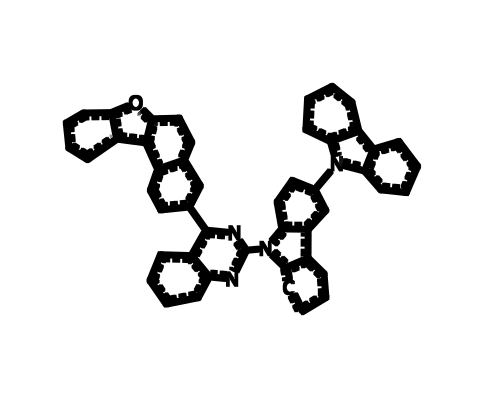 c1ccc2c(-c3ccc4c(ccc5oc6ccccc6c54)c3)nc(-n3c4ccccc4c4cc(-n5c6ccccc6c6ccccc65)ccc43)nc2c1